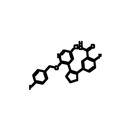 O=C(O)c1cc(C2=C(c3cc(Cl)cnc3OCc3ccc(F)cc3)CCC2)ccc1F